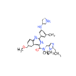 CCc1ncc(CN(C)C(=O)c2nc(-c3cc(C)cc(NC4CCNC4)c3)nc3ccc(COC)cc23)n1C